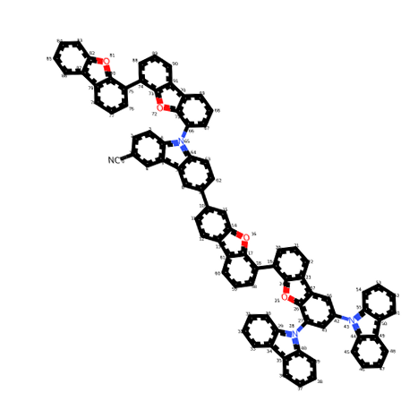 N#Cc1ccc2c(c1)c1cc(-c3ccc4c(c3)oc3c(-c5cccc6c5oc5c(-n7c8ccccc8c8ccccc87)cc(-n7c8ccccc8c8ccccc87)cc56)cccc34)ccc1n2-c1cccc2c1oc1c(-c3cccc4c3oc3ccccc34)cccc12